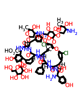 CC1OC(OC2[C@@H](Oc3c4cc5cc3Oc3ccc(cc3Cl)[C@@H](OC3CC(N)C(O)C(C)O3)[C@@H]3NC(=O)[C@H](NC(=O)[C@@H]5NC(=O)[C@H](Cc5ccccc5)NC(=O)[C@H](NC(=O)[C@H](N)c5ccc(O)cc5)[C@H](O)C5=CC(Cl)=C(CC5)O4)C4=CC=C(O)C(C4)c4c(OC5OC(CO)C(O)C(O)C5O)cc(O)cc4[C@@H](C(=O)O)NC3=O)OC(CO)C(O)[C@@H]2O)CC(N)C1O